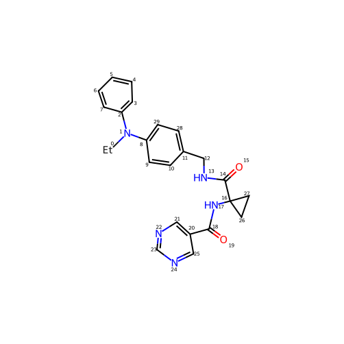 CCN(c1ccccc1)c1ccc(CNC(=O)C2(NC(=O)c3cncnc3)CC2)cc1